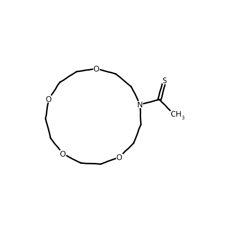 CC(=S)N1CCOCCOCCOCCOCC1